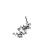 CCCCCOC(=O)C(C)(C)N[P@](=O)(COC(C)Cn1cnc2c(N)ncnc21)NC(C)C(=O)OC1CCC1